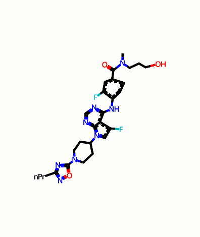 CCCc1noc(N2CCC(n3cc(F)c4c(Nc5ccc(C(=O)N(C)CCCO)cc5F)ncnc43)CC2)n1